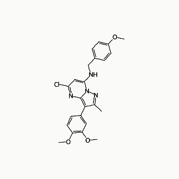 COc1ccc(CNc2cc(Cl)nc3c(-c4ccc(OC)c(OC)c4)c(C)nn23)cc1